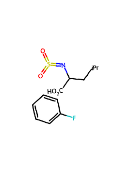 CC(C)CC(N=S(=O)=O)C(=O)O.Fc1ccccc1